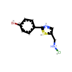 ClNCc1cnc(-c2ccc(Br)cc2)s1